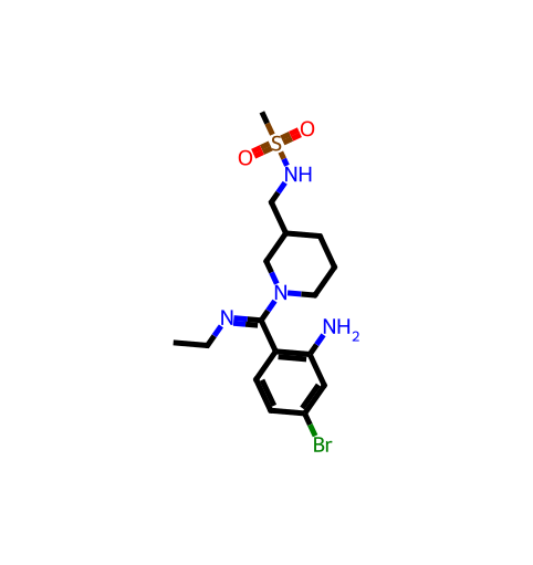 CC/N=C(\c1ccc(Br)cc1N)N1CCCC(CNS(C)(=O)=O)C1